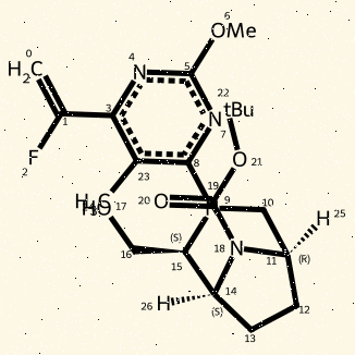 C=C(F)c1nc(OC)nc(N2C[C@H]3CC[C@@H]([C@H]2CO)N3C(=O)OC(C)(C)C)c1C